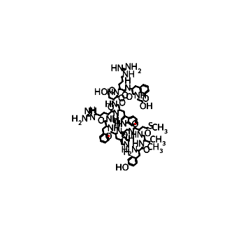 CSCCC(NC(=O)C(NC(=O)C(N)Cc1ccc(O)cc1)C(C)C)C(=O)NCC(=O)NC(Cc1c[nH]cn1)C(=O)NC(Cc1ccccc1)C(=O)NC(CCCNC(=N)N)C(=O)NC(Cc1c[nH]c2ccccc12)C(=O)NC(CC(=O)O)C(=O)NC(CCCNC(=N)N)C(=O)NC(Cc1ccccc1)C(=O)NCC(=O)O